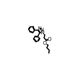 CCCCOC(=O)CCn1nnc(-c2ccccc2)c1-c1ccccc1